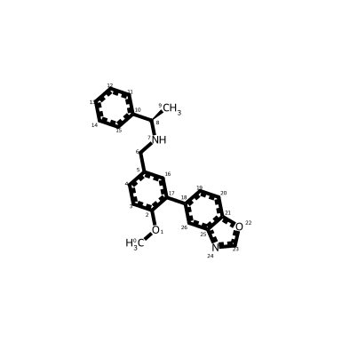 COc1ccc(CN[C@H](C)c2ccccc2)cc1-c1ccc2ocnc2c1